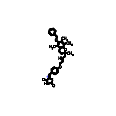 Cc1c(C)c2c(c(C)c1OCc1ccccc1)CCC(C)(CNCCOc1ccc(/C=C3\SC(=O)NC3=O)cc1)O2